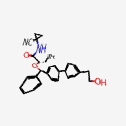 CC(C)C[C@H](OC(c1ccccc1)c1ccc(-c2ccc(CCO)cc2)cc1)C(=O)NC1(C#N)CC1